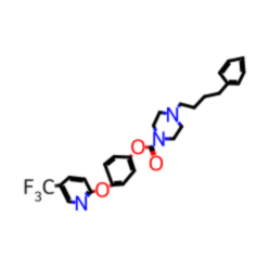 O=C(Oc1ccc(Oc2ccc(C(F)(F)F)cn2)cc1)N1CCN(CCCCc2ccccc2)CC1